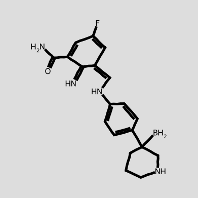 BC1(c2ccc(N/C=C3/C=C(F)C=C(C(N)=O)C3=N)cc2)CCCNC1